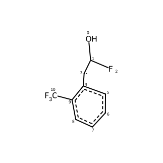 OC(F)[CH]c1ccccc1C(F)(F)F